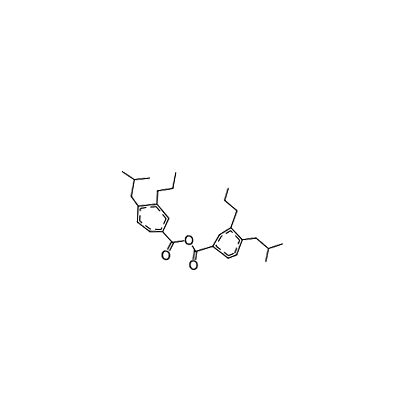 CCCc1cc(C(=O)OC(=O)c2ccc(CC(C)C)c(CCC)c2)ccc1CC(C)C